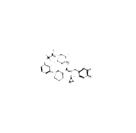 CC(C)(Oc1cccc(N2CCC[C@@H](C(=O)N(Cc3ccc(Br)c(F)c3)C3CC3)C2)c1)C(=O)N1CCN(C(=O)O)CC1